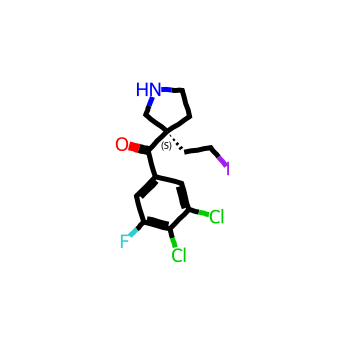 O=C(c1cc(F)c(Cl)c(Cl)c1)[C@]1(CCI)CCNC1